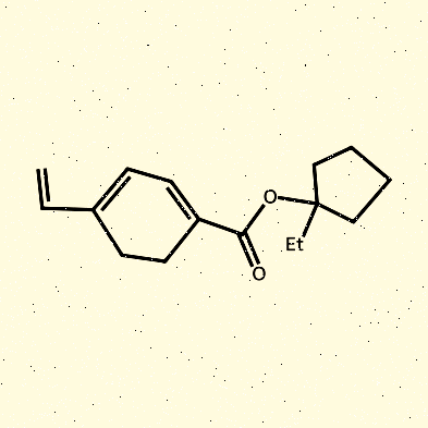 C=CC1=CC=C(C(=O)OC2(CC)CCCC2)CC1